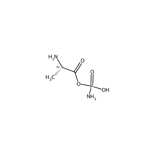 C[C@H](N)C(=O)OP(N)(=O)O